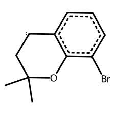 CC1(C)C[C]c2cccc(Br)c2O1